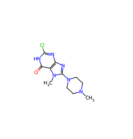 CN1CCN(c2nc3nc(Cl)[nH]c(=O)c3n2C)CC1